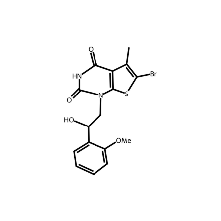 COc1ccccc1C(O)Cn1c(=O)[nH]c(=O)c2c(C)c(Br)sc21